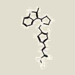 Cc1[nH]c2ccccc2c1C1CCCN1Cc1ccc(/C=C/C(=O)NO)cc1F